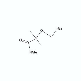 CNC(=O)C(C)(C)OCC(C)(C)C